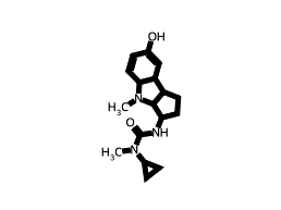 CN(C(=O)NC1CCC2C3C=C(O)C=CC3N(C)C12)C1CC1